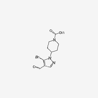 O=Cc1cnn(C2CCN(C(=O)O)CC2)c1Br